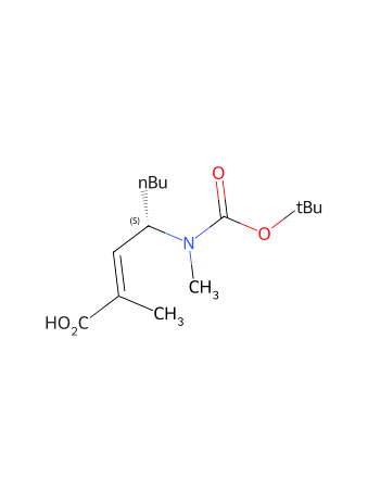 CCCC[C@@H](C=C(C)C(=O)O)N(C)C(=O)OC(C)(C)C